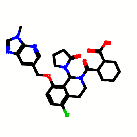 Cn1cnc2cc(COc3ccc(Cl)c4c3C(N3CCCC3=O)N(C(=O)[C@@H]3CCCC[C@@H]3C(=O)O)CC4)cnc21